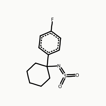 O=S(=O)=NC1(c2ccc(F)cc2)CCCCC1